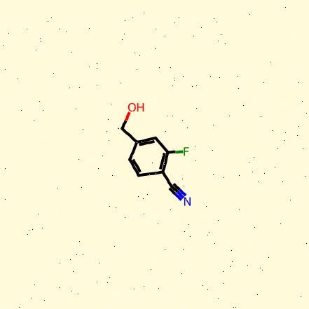 N#Cc1ccc([CH]O)cc1F